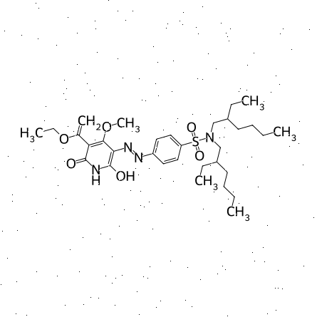 C=C(OCC)c1c(OC)c(/N=N/c2ccc(S(=O)(=O)N(CC(CC)CCCC)CC(CC)CCCC)cc2)c(O)[nH]c1=O